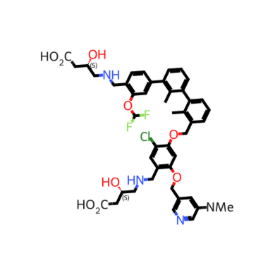 CNc1cncc(COc2cc(OCc3cccc(-c4cccc(-c5ccc(CNC[C@@H](O)CC(=O)O)c(OC(F)F)c5)c4C)c3C)c(Cl)cc2CNC[C@@H](O)CC(=O)O)c1